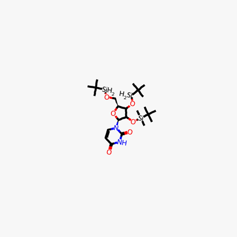 CC(C)(C)[SiH2]OC[C@@H]1O[C@H](n2ccc(=O)[nH]c2=O)C(O[Si](C)(C)C(C)(C)C)C1O[SiH2]C(C)(C)C